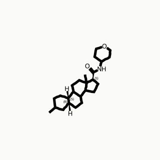 CC1CC[C@@H]2C3CCC4(C)C(CC[C@@H]4C(=O)NC4CCOCC4)C3CC[C@@H]2C1